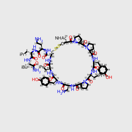 CC[C@H](C)[C@H](NC(=O)[C@H](CC(C)C)NC(=O)[C@@H](CCN)NC(=O)[C@@H]1CSSC[C@H](NC(C)=O)C(=O)N2CCC[C@H]2C(=O)N2CCC[C@H]2C(=O)N[C@@H](Cc2ccc(O)cc2)C(=O)N[C@@H](CC(C)C)C(=O)N2CCC[C@H]2C(=O)N[C@@H](CN)C(=O)N[C@@H](Cc2ccc(O)cc2)C(=O)N[C@@H](CC(C)C)C(=O)N1)C(N)=O